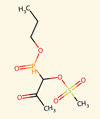 CCCO[PH](=O)C(OS(C)(=O)=O)C(C)=O